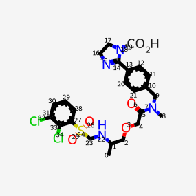 CC(COCC(=O)N(C)Cc1ccc(C2=NCCN2C(=O)O)cc1)NCS(=O)(=O)c1cccc(Cl)c1Cl